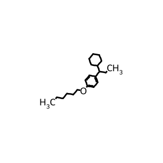 CCCCCCOc1ccc(C(CC)C2CCCCC2)cc1